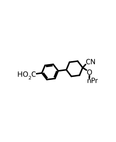 CCCOC1(C#N)CCC(c2ccc(C(=O)O)cc2)CC1